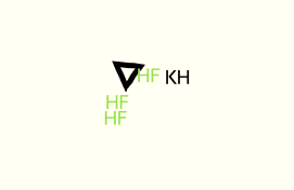 F.F.F.[CH]1CC1.[KH]